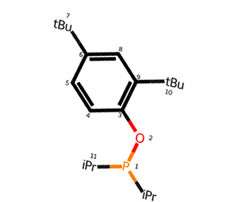 CC(C)P(Oc1ccc(C(C)(C)C)cc1C(C)(C)C)C(C)C